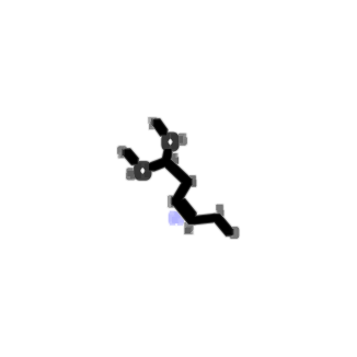 CC/C=C\CC(OC)OC